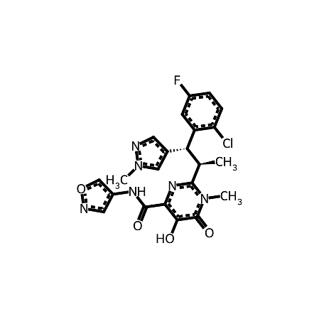 C[C@@H](c1nc(C(=O)Nc2cnoc2)c(O)c(=O)n1C)[C@H](c1cnn(C)c1)c1cc(F)ccc1Cl